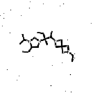 CCC1CN(C(C)(CC)C(C)N2CC3(CN(CC)C3)C2)CN1C(C)C